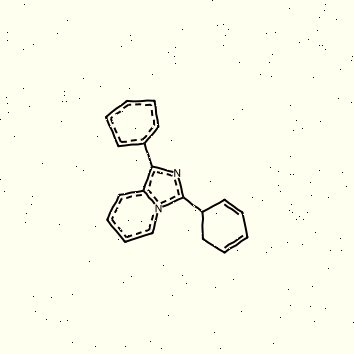 C1=CCC(c2nc(-c3ccccc3)c3ccccn23)C=C1